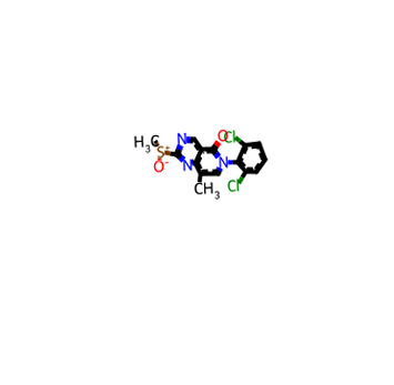 Cc1cn(-c2c(Cl)cccc2Cl)c(=O)c2cnc([S+](C)[O-])nc12